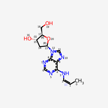 C/C=C\Nc1ncnc2c1ncn2[C@H]1C[C@H](O)[C@@H](CO)O1